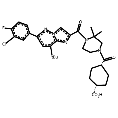 CC(C)(C)c1cc(-c2ccc(F)c(Cl)c2)nn2cc(C(=O)N3CCN(C(=O)[C@H]4CC[C@@H](C(=O)O)CC4)CC3(C)C)nc12